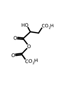 O=C(O)CC(O)C(=O)OC(=O)C(=O)O